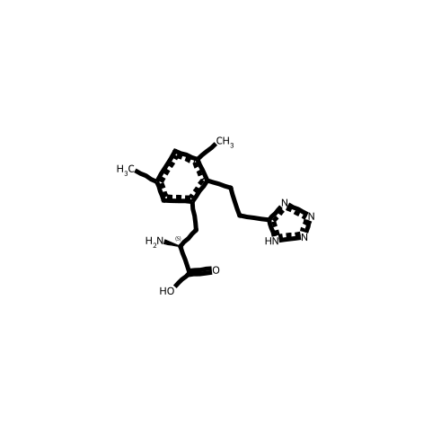 Cc1cc(C)c(CCc2nnn[nH]2)c(C[C@H](N)C(=O)O)c1